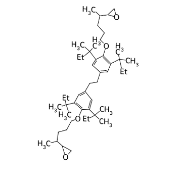 CCC(C)(C)c1cc(CCc2cc(C(C)(C)CC)c(OCCCC(C)C3CO3)c(C(C)(C)CC)c2)cc(C(C)(C)CC)c1OCCCC(C)C1CO1